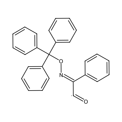 O=[C]/C(=N/OC(c1ccccc1)(c1ccccc1)c1ccccc1)c1ccccc1